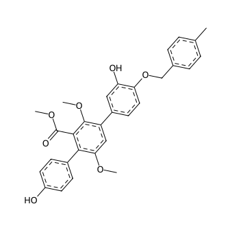 COC(=O)c1c(OC)c(-c2ccc(OCc3ccc(C)cc3)c(O)c2)cc(OC)c1-c1ccc(O)cc1